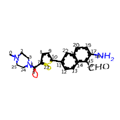 CN1CCN(C(=O)c2ccc(-c3ccc4c(C=O)c(N)ccc4c3)s2)CC1